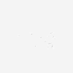 OC(COCC(O)COc1cc(C(F)(F)F)cc(C(F)(F)F)c1)COCC(F)(F)OC(F)(F)OC(F)(F)COCCOCC(O)COc1ccc2ccccc2c1